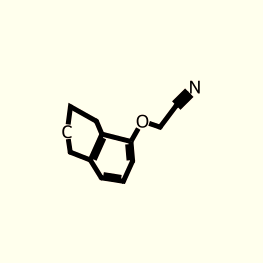 N#CCOc1cccc2c1CCCC2